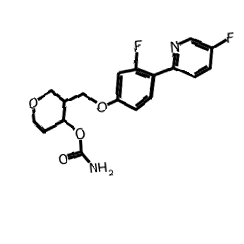 NC(=O)OC1CCOCC1COc1ccc(-c2ccc(F)cn2)c(F)c1